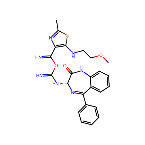 COCCNc1sc(C)nc1C(=N)OC(=N)N[C@H]1N=C(c2ccccc2)c2ccccc2NC1=O